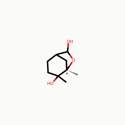 CC1(O)CCC2C[C@@]1(C)OC2O